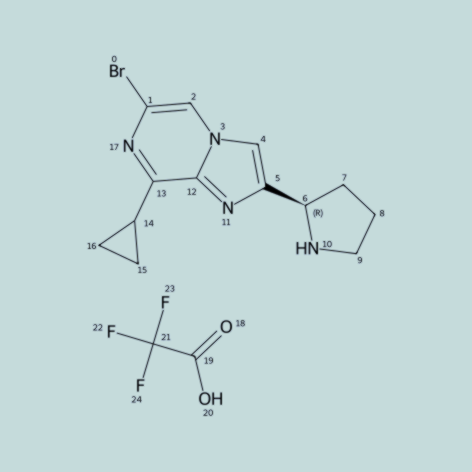 Brc1cn2cc([C@H]3CCCN3)nc2c(C2CC2)n1.O=C(O)C(F)(F)F